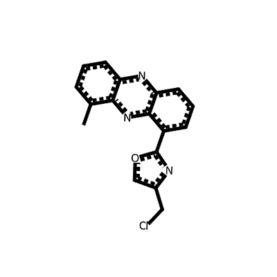 Cc1cccc2nc3cccc(-c4nc(CCl)co4)c3nc12